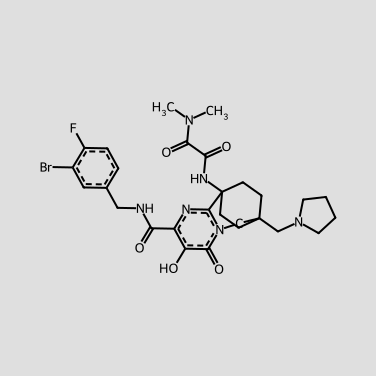 CN(C)C(=O)C(=O)NC12CCC(CN3CCCC3)(CC1)Cn1c2nc(C(=O)NCc2ccc(F)c(Br)c2)c(O)c1=O